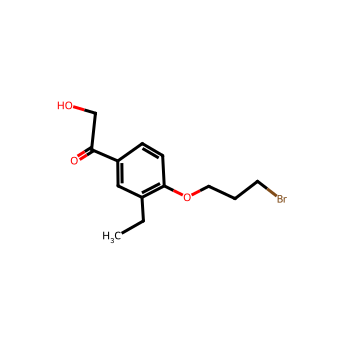 CCc1cc(C(=O)CO)ccc1OCCCBr